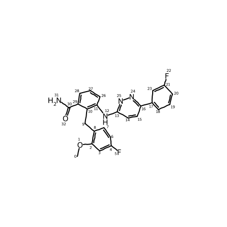 COc1cc(F)ccc1Cc1c(Nc2ccc(-c3cccc(F)c3)nn2)cccc1C(N)=O